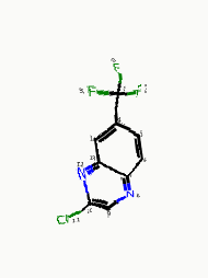 FC(F)(F)c1ccc2ncc(Cl)nc2c1